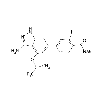 CNC(=O)c1ccc(-c2cc(OC(C)C(F)(F)F)c3c(N)n[nH]c3c2)cc1F